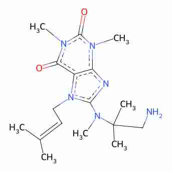 CC(C)=CCn1c(N(C)C(C)(C)CN)nc2c1c(=O)n(C)c(=O)n2C